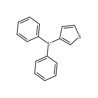 c1ccc([S+](c2ccccc2)c2ccsc2)cc1